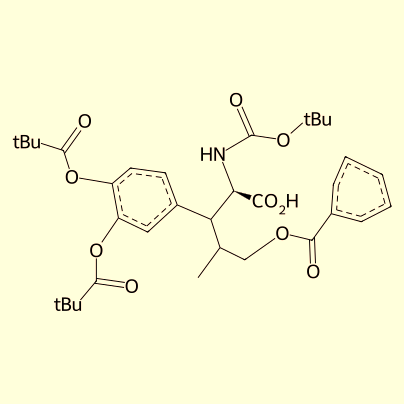 CC(COC(=O)c1ccccc1)C(c1ccc(OC(=O)C(C)(C)C)c(OC(=O)C(C)(C)C)c1)[C@@H](NC(=O)OC(C)(C)C)C(=O)O